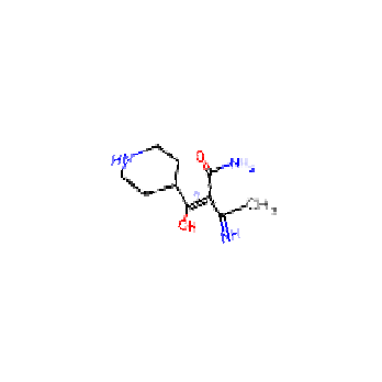 CC(=N)/C(C(N)=O)=C(\O)C1CCNCC1